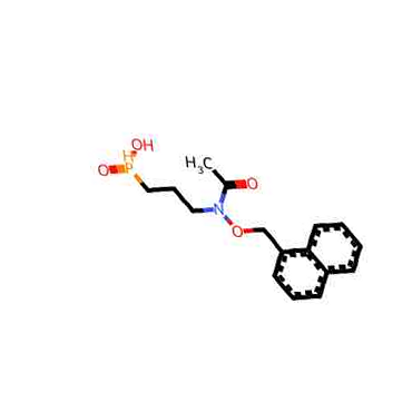 CC(=O)N(CCC[PH](=O)O)OCc1cccc2ccccc12